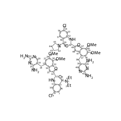 CCN(CC)C(=O)c1ccc(Cl)cc1NCc1cc2c(Cc3cnc(N)nc3N)cc(OC)c(OC)c2o1.COc1cc(Cc2cnc(N)nc2N)c2cc(CNc3cc(Cl)ccc3C(=O)N3CCCC3)oc2c1OC